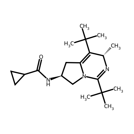 C[C@@H]1N=C(C(C)(C)C)N2C[C@@H](NC(=O)C3CC3)CC2=C1C(C)(C)C